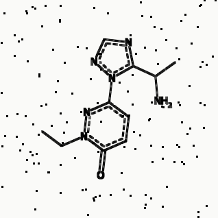 CCn1nc(-n2ncnc2C(C)N)ccc1=O